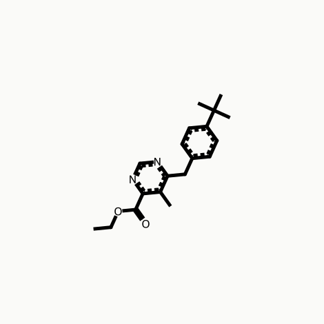 CCOC(=O)c1ncnc(Cc2ccc(C(C)(C)C)cc2)c1C